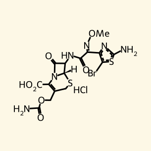 CON=C(C(=O)NC1C(=O)N2C(C(=O)O)=C(COC(N)=O)CS[C@@H]12)c1nc(N)sc1Br.Cl